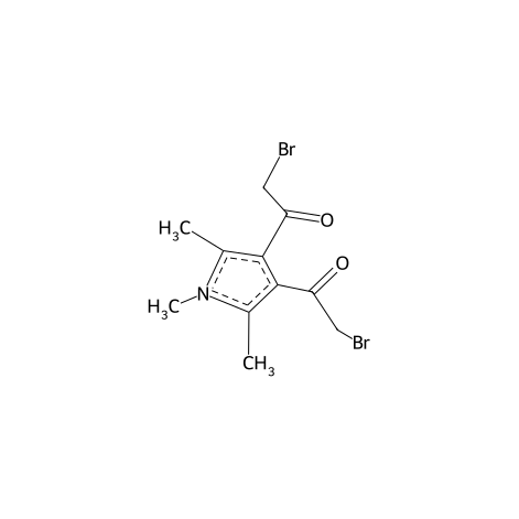 Cc1c(C(=O)CBr)c(C(=O)CBr)c(C)n1C